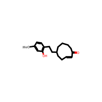 COc1ccc(CCC2CC/C=C/C(=O)CCCC2)c(O)c1